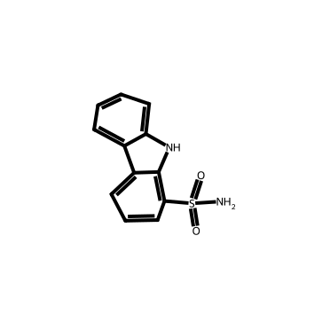 NS(=O)(=O)c1cccc2c1[nH]c1ccccc12